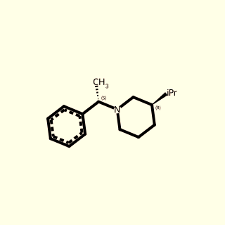 CC(C)[C@H]1CCCN([C@@H](C)c2ccccc2)C1